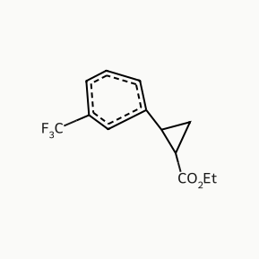 CCOC(=O)C1CC1c1cccc(C(F)(F)F)c1